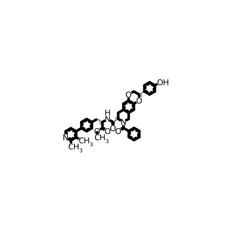 COC(=O)[C@H](Cc1ccc(-c2ccnc(C)c2C)cc1)NC(=O)[C@@H]1Cc2cc3c(cc2CN1C(=O)c1ccccc1)O[C@@H](c1ccc(O)cc1)CO3